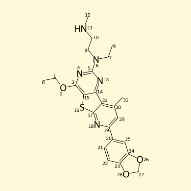 CCOc1nc(N(CC)CCNC)nc2c1sc1nc(-c3ccc4c(c3)OCO4)cc(C)c12